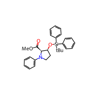 COC(=O)[C@H]1[C@@H](O[Si](c2ccccc2)(c2ccccc2)C(C)(C)C)CCN1c1ccccc1